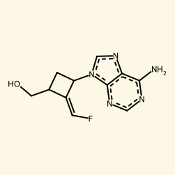 Nc1ncnc2c1ncn2C1CC(CO)/C1=C/F